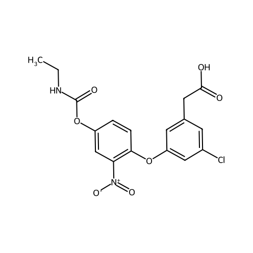 CCNC(=O)Oc1ccc(Oc2cc(Cl)cc(CC(=O)O)c2)c([N+](=O)[O-])c1